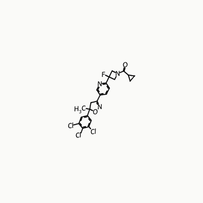 CC1(c2cc(Cl)c(Cl)c(Cl)c2)CC(c2ccc(C3(F)CN(C(=O)C4CC4)C3)nc2)=NO1